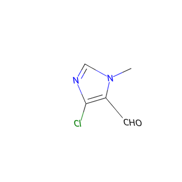 Cn1cnc(Cl)c1C=O